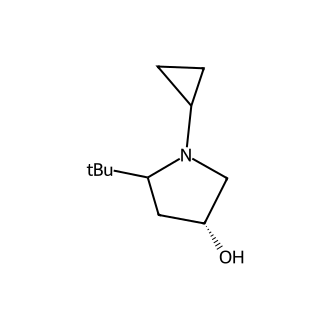 CC(C)(C)C1C[C@@H](O)CN1C1CC1